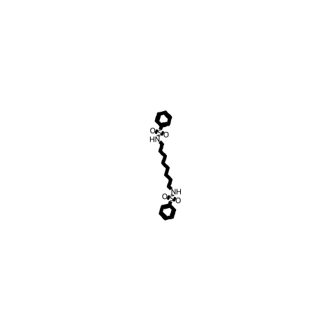 O=S(=O)(NCCCCCCCCNS(=O)(=O)c1ccccc1)c1ccccc1